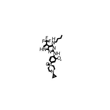 CCCCNc1nc(Nc2ccc(P3(=O)CCN(C4CC4)CC3)cc2OC)nc2[nH]cc(C(F)(F)F)c12